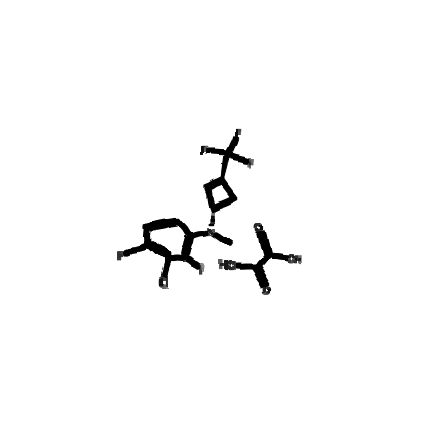 CN(c1ccc(F)c(Cl)c1F)[C@H]1C[C@H](C(F)(F)F)C1.O=C(O)C(=O)O